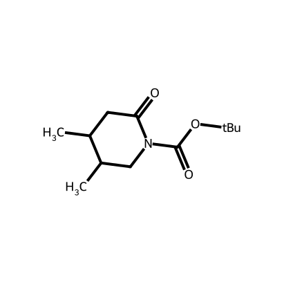 CC1CC(=O)N(C(=O)OC(C)(C)C)CC1C